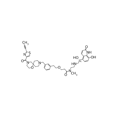 CC#Cc1nc(C(=O)N2CCOC3(CCN(Cc4cccc(CCOCCC(=O)N(C)CCNC[C@H](O)c5ccc(O)c6[nH]c(=O)ccc56)c4)CC3)C2)cs1